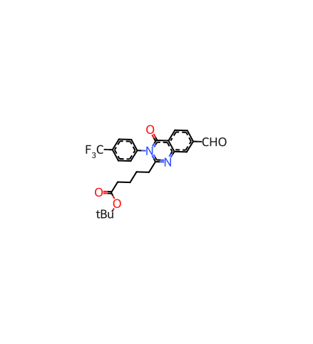 CC(C)(C)OC(=O)CCCCc1nc2cc(C=O)ccc2c(=O)n1-c1ccc(C(F)(F)F)cc1